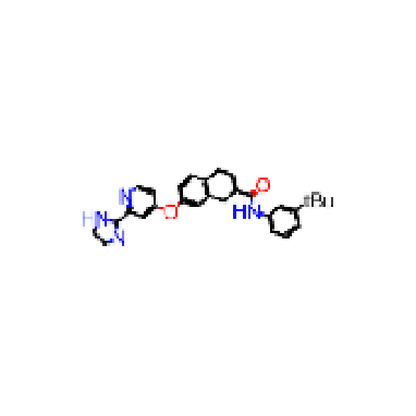 CC(C)(C)c1cccc(NC(=O)C2CCc3ccc(Oc4ccnc(C5=NCCN5)c4)cc3C2)c1